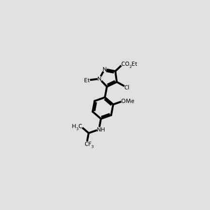 CCOC(=O)c1nn(CC)c(-c2ccc(NC(C)C(F)(F)F)cc2OC)c1Cl